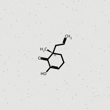 C=CC[C@]1(C)CCC=C(O)C1=O